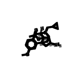 COc1ccc2c(c1)[C@]13CCN(CC4CC4)[C@H](C2)[C@]1(OC(C)=O)C[C@@H](N)C3